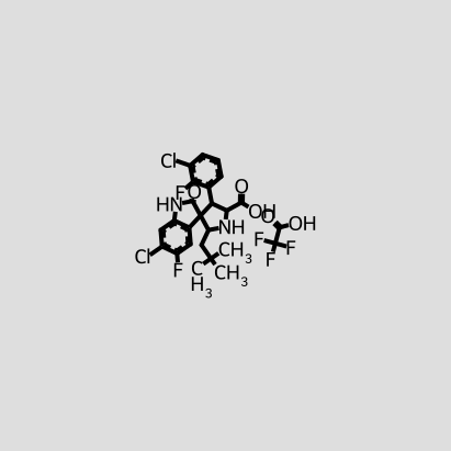 CC(C)(C)CC1NC(C(=O)O)C(c2cccc(Cl)c2F)C12C(=O)Nc1cc(Cl)c(F)cc12.O=C(O)C(F)(F)F